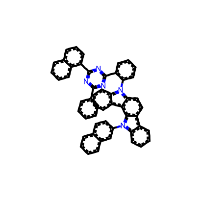 c1ccc(-c2nc(-c3ccccc3-n3c4ccccc4c4c3ccc3c5ccccc5n(-c5ccc6ccccc6c5)c34)nc(-c3cccc4ccccc34)n2)cc1